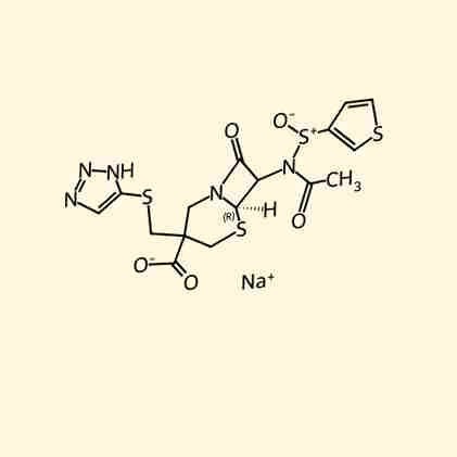 CC(=O)N(C1C(=O)N2CC(CSc3cnn[nH]3)(C(=O)[O-])CS[C@H]12)[S+]([O-])c1ccsc1.[Na+]